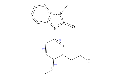 C\C=C(/C=C\C(=C/C)n1c(=O)n(C)c2ccccc21)CCCO